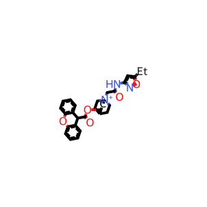 CCc1cc(NC(=O)C[N+]23CCC(CC2)C(OC(=O)C2c4ccccc4Oc4ccccc42)C3)no1